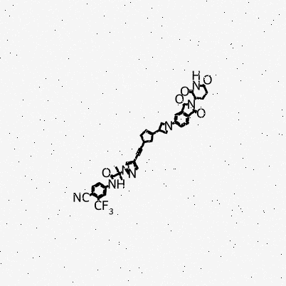 CC(C)(C(=O)Nc1ccc(C#N)c(C(F)(F)F)c1)n1cc(C#CC2CC=C(C3CN(c4ccc5c(c4)C(=O)N(C4CCC(=O)NC4=O)C5=O)C3)C2)cn1